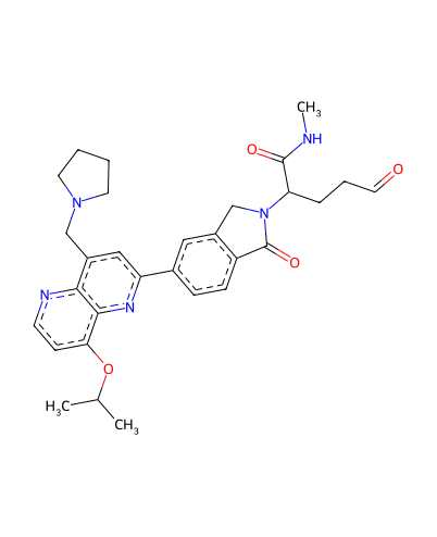 CNC(=O)C(CCC=O)N1Cc2cc(-c3cc(CN4CCCC4)c4nccc(OC(C)C)c4n3)ccc2C1=O